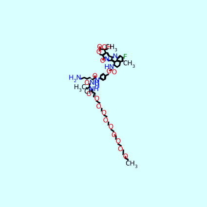 CCCOCCOCCOCCOCCOCCOCCOCCOCCOCCC(=O)N[C@H](C(=O)N[C@@H](CCCCN)C(=O)Nc1ccc(COC(=O)N[C@H]2CCc3c(C)c(F)cc4nc5c(c2c34)Cn2c-5cc3c(c2=O)COC(=O)[C@]3(O)CC)cc1)C(C)C